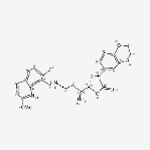 COc1ccc2ncc(F)c(CNCC[C@H](N)[C@@H]3CN(c4ccc5c(c4)OCCO5)C(=O)O3)c2n1